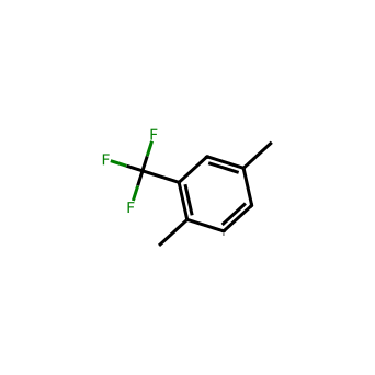 Cc1c[c]c(C)c(C(F)(F)F)c1